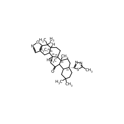 Cc1nnc([C@]23CCC(C)(C)CC2C2C(=O)C[C@@H]4[C@@]5(C)Cc6cnoc6C(C)(C)[C@@H]5CC[C@@]4(C)[C@]2(C)CC3)s1